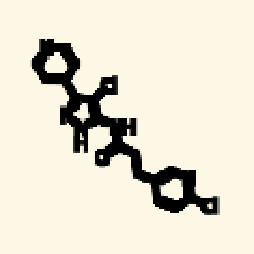 O=C(CCc1ccc(Cl)nc1)Nc1[nH]nc(-c2ccncc2)c1Cl